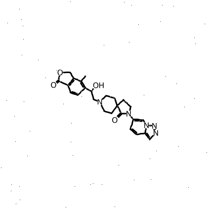 Cc1c([C@@H](O)CN2CCC3(CC2)CCN(c2ccc4cnnn4c2)C3=O)ccc2c1COC2=O